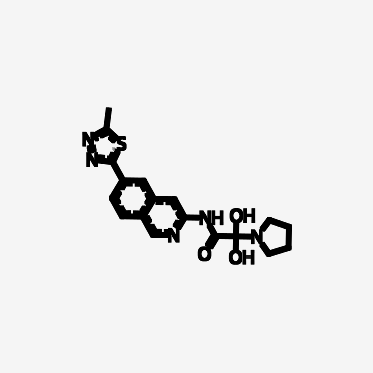 Cc1nnc(-c2ccc3cnc(NC(=O)C(O)(O)N4CCCC4)cc3c2)s1